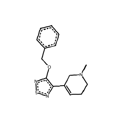 CN1CCC=C(c2nsnc2OCc2ccccc2)C1